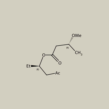 CC[C@H](CC(C)=O)OC(=O)C[C@@H](C)OC